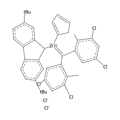 Cc1c(Cl)cc(Cl)cc1[C](c1cc(Cl)cc(Cl)c1C)=[Zr+2]([C]1=CC=CC1)[CH]1c2cc(C(C)(C)C)ccc2-c2ccc(C(C)(C)C)cc21.[Cl-].[Cl-]